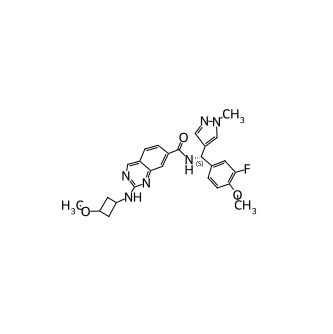 COc1ccc([C@H](NC(=O)c2ccc3cnc(NC4CC(OC)C4)nc3c2)c2cnn(C)c2)cc1F